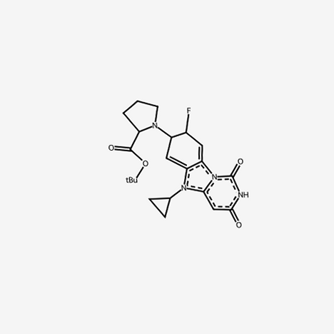 CC(C)(C)OC(=O)C1CCCN1C1C=c2c(n3c(=O)[nH]c(=O)cc3n2C2CC2)=CC1F